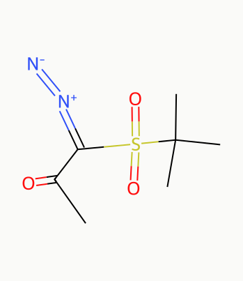 CC(=O)C(=[N+]=[N-])S(=O)(=O)C(C)(C)C